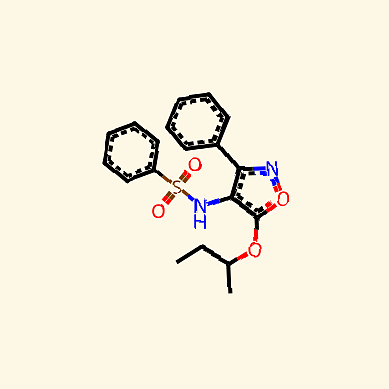 CCC(C)Oc1onc(-c2ccccc2)c1NS(=O)(=O)c1ccccc1